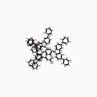 O=c1cc(-c2nc(-c3ccccc3)nc(-c3ccccc3)n2)c2c(-n3c4ccc(-c5ccccc5)cc4c4cc(-c5ccccc5)ccc43)c(-n3c4ccc(-c5ccccc5)cc4c4cc(-c5ccccc5)ccc43)cc(-n3c4ccc(-c5ccccc5)cc4c4cc(-c5ccccc5)ccc43)c2o1